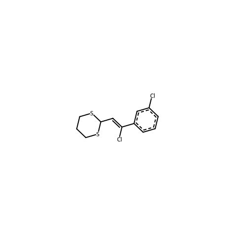 ClC(=CC1SCCCS1)c1cccc(Cl)c1